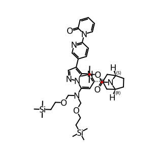 CC(C)(C)OC(=O)N1[C@@H]2CC[C@H]1C[C@@H](c1cc(N(COCC[Si](C)(C)C)COCC[Si](C)(C)C)n3ncc(-c4ccc(-n5ccccc5=O)nc4)c3n1)C2